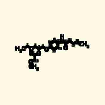 CCOCC(COc1ccc(NC(=O)CCSC)cc1)OC(=O)COC